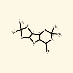 CC1(C)OC2OC3C(O)OC(C)(C)OC3C2O1